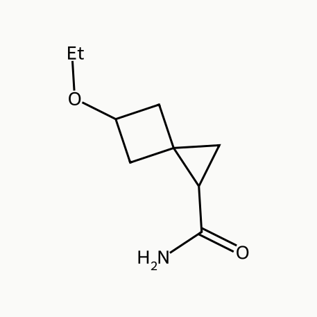 CCOC1CC2(C1)CC2C(N)=O